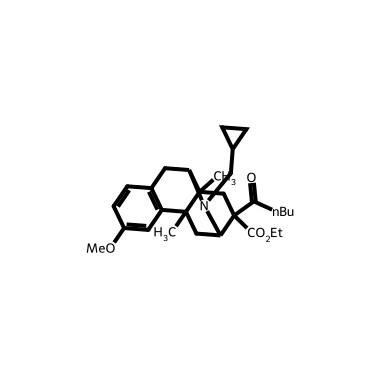 CCCCC(=O)C1(C(=O)OCC)CC2(C)C3Cc4ccc(OC)cc4C2(C)CC1N3CC1CC1